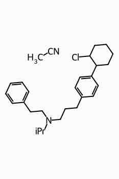 CC#N.CC(C)N(CCCc1ccc(C2CCCCC2Cl)cc1)CCc1ccccc1